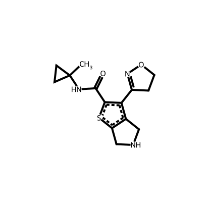 CC1(NC(=O)c2sc3c(c2C2=NOCC2)CNC3)CC1